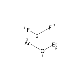 CCOC(C)=O.FCF